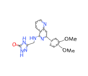 COc1ccc(-c2cc3ncccc3c(NCc3n[nH]c(=O)[nH]3)n2)cc1OC